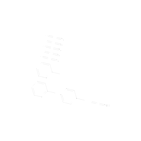 Cc1ccccc1.Cc1ccccc1.Cc1ccccc1.N=C=O.N=C=O.N=C=O.N=C=O.N=C=O.N=C=O